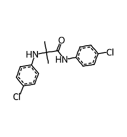 CC(C)(Nc1ccc(Cl)cc1)C(=O)Nc1ccc(Cl)cc1